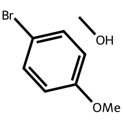 CO.COc1ccc(Br)cc1